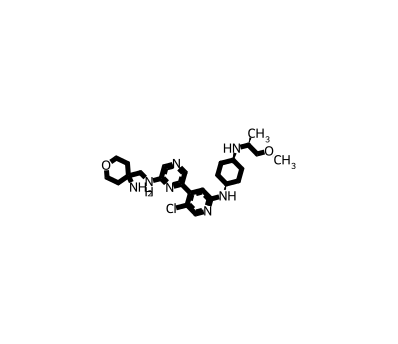 COC[C@@H](C)N[C@H]1CC[C@H](Nc2cc(-c3cncc(NCC4(N)CCOCC4)n3)c(Cl)cn2)CC1